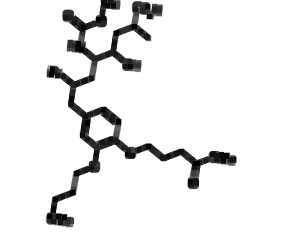 COCCCOc1cc(CC(CC(NC(=O)OC(C)(C)C)C(O)CC(C)C(=O)O)C(C)C)ccc1OCCCC(=O)OC